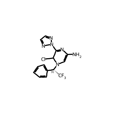 NC1=CN([C@@H](c2ccccc2)C(F)(F)F)C(Cl)C(n2nccn2)=N1